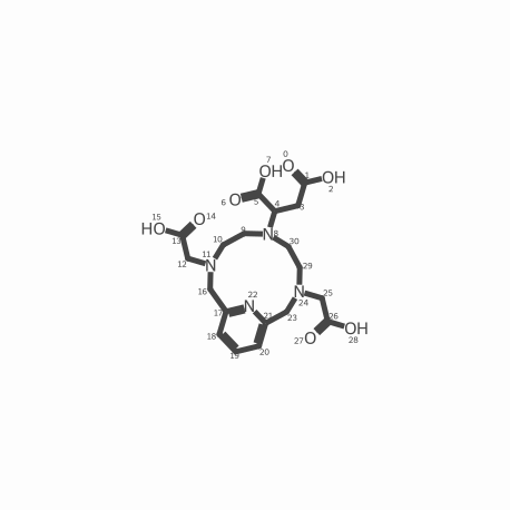 O=C(O)CC(C(=O)O)N1CCN(CC(=O)O)Cc2cccc(n2)CN(CC(=O)O)CC1